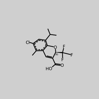 Cc1c(Cl)cc(C(C)C)c2c1C=C(C(=O)O)[C@H](C(F)(F)F)O2